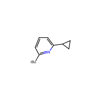 CC(C)(C)c1cccc(C2CC2)n1